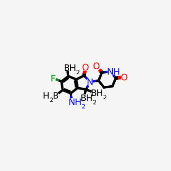 Bc1c(N)c2c(c(B)c1F)C(=O)N(C1CCC(=O)NC1=O)C2(B)B